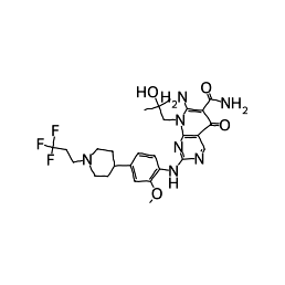 COc1cc(C2CCN(CCC(F)(F)F)CC2)ccc1Nc1ncc2c(=O)c(C(N)=O)c(N)n(CC(C)(C)O)c2n1